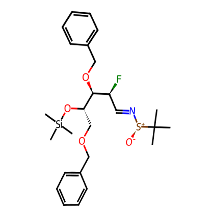 CC(C)(C)[S@@+]([O-])/N=C/[C@H](F)[C@H](OCc1ccccc1)[C@H](COCc1ccccc1)O[Si](C)(C)C